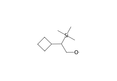 C[Si](C)(C)C(C[O])C1CCC1